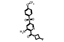 Nc1cc(S(=O)(=O)c2ccc(OC(F)(F)F)cc2)cnc1C(=O)N1CC(F)C1